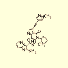 C[C@H](NC(=O)c1c(N)nc2cccnn12)c1cc2ncc(C#Cc3cnn(C)c3)n2c(=O)n1-c1ccccc1